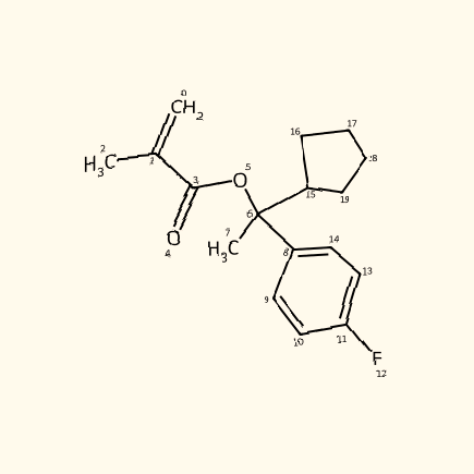 C=C(C)C(=O)OC(C)(c1ccc(F)cc1)C1CCCC1